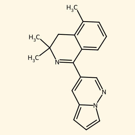 Cc1cccc2c1CC(C)(C)N=C2c1cnn2cccc2c1